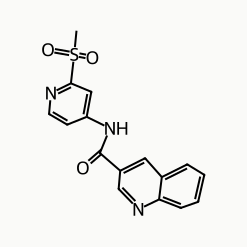 CS(=O)(=O)c1cc(NC(=O)c2cnc3ccccc3c2)ccn1